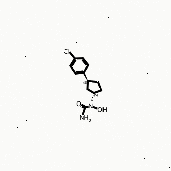 NC(=O)N(O)[C@H]1CC[C@H](c2ccc(Cl)cc2)C1